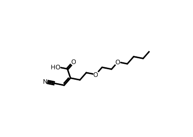 CCCCOCCOCCC(=CC#N)C(=O)O